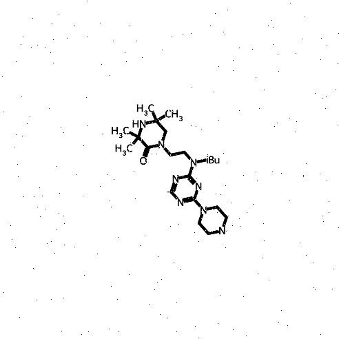 CCC(C)N(CCN1CC(C)(C)NC(C)(C)C1=O)c1n[c]nc(N2CC[N]CC2)n1